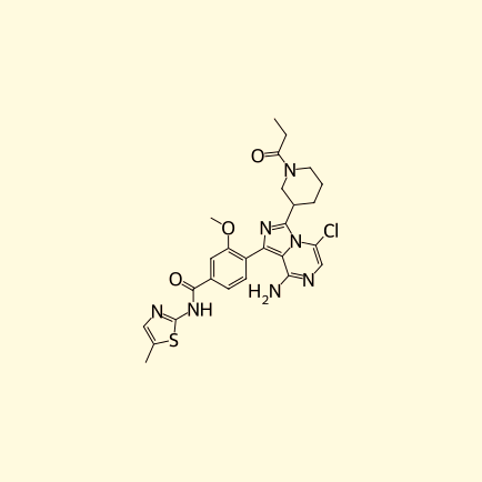 CCC(=O)N1CCCC(c2nc(-c3ccc(C(=O)Nc4ncc(C)s4)cc3OC)c3c(N)ncc(Cl)n23)C1